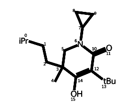 CC(C)CCC1(C)CN(C2CC2)C(=O)C(C(C)(C)C)=C1O